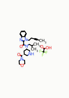 CC#CCCn1c(C(=O)N(CC(C)C)[C@@H]2CNC[C@H](C(=O)N3CCOCC3)C2)nc2ccccc21.O=C(O)C(F)(F)F